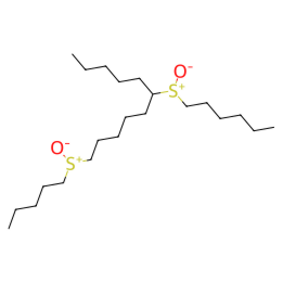 CCCCCC[S+]([O-])C(CCCCC)CCCCC[S+]([O-])CCCCC